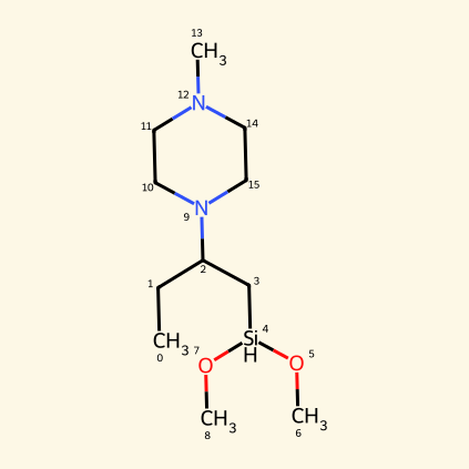 CCC(C[SiH](OC)OC)N1CCN(C)CC1